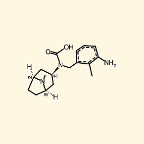 Cc1c(N)cccc1CN(C(=O)O)[C@H]1C[C@H]2CC[C@@H](C1)N2C